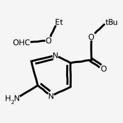 CC(C)(C)OC(=O)c1cnc(N)cn1.CCOC=O